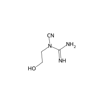 N#CN(CCO)C(=N)N